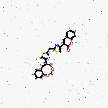 O=c1oc2ccccc2cc1-c1csc(Cc2nc(/C3=C/c4ccccc4OCOC3)cs2)n1